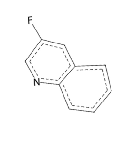 Fc1cnc2ccccc2c1